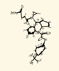 O=C(O)CCC(=O)N(C1CC1)C1c2ccccc2N(C(=O)OCc2ccc(C(F)(F)F)cc2)C2CCCC21